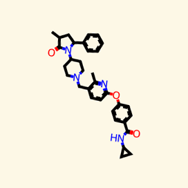 Cc1nc(Oc2ccc(C(=O)NC3CC3)cc2)ccc1CN1CCC(N2C(=O)C(C)CC2c2ccccc2)CC1